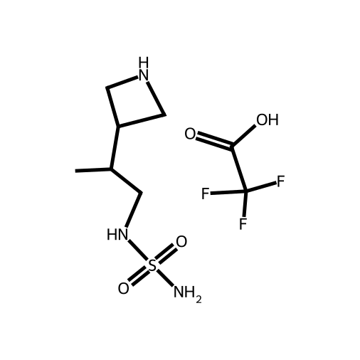 CC(CNS(N)(=O)=O)C1CNC1.O=C(O)C(F)(F)F